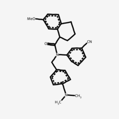 COc1ccc2c(c1)C(C(=O)N(Cc1ccc(N(C)C)cc1)c1cccc(C#N)c1)CCC2